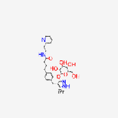 CC(C)c1[nH]nc(O[C@@H]2O[C@H](CO)[C@@H](O)[C@H](O)[C@H]2O)c1Cc1ccc(CCCC(=O)NCCc2ccccn2)cc1